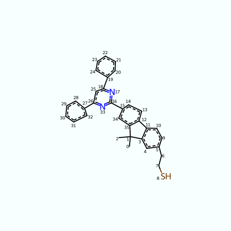 CC1(C)c2cc(CCS)ccc2-c2ccc(-c3nc(-c4ccccc4)cc(-c4ccccc4)n3)cc21